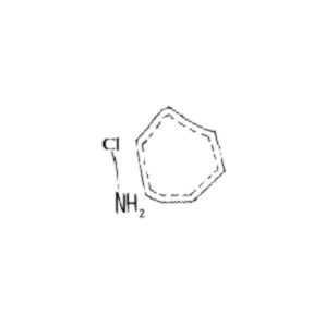 NCl.c1ccccc1